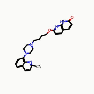 N#Cc1ccc2cccc(N3CCN(CCCCOc4ccc5ccc(=O)[nH]c5n4)CC3)c2n1